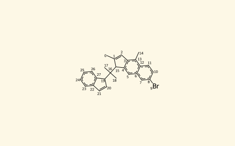 CC1=Cc2c(cc3cc(Br)ccc3c2C)C1C(C)(C)C1C=Cc2ccccc21